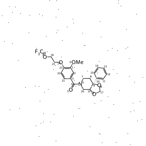 COc1cc(C(=O)N2CC[C@@]3(c4ccccc4)OCOC3C2)ccc1OCCOC(F)(F)F